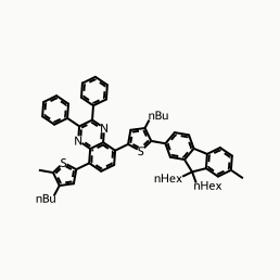 CCCCCCC1(CCCCCC)c2cc(C)ccc2-c2ccc(-c3sc(-c4ccc(-c5cc(CCCC)c(C)s5)c5nc(-c6ccccc6)c(-c6ccccc6)nc45)cc3CCCC)cc21